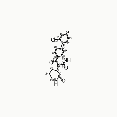 O=C1CC(n2c(=O)[nH]c3cc(-c4ccccc4Cl)ccc3c2=O)CCCN1